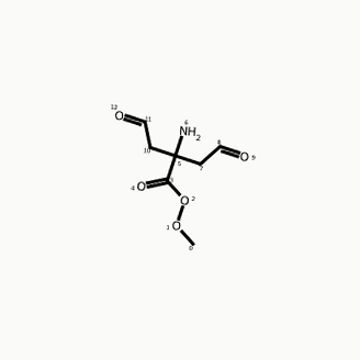 COOC(=O)C(N)(CC=O)CC=O